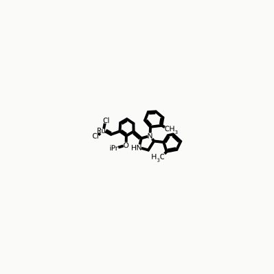 Cc1ccccc1C1CNC(=C2CC=CC([CH]=[Ru]([Cl])[Cl])=C2OC(C)C)N1c1ccccc1C